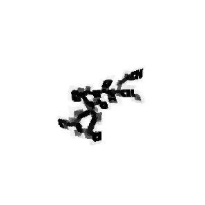 C#CCC(C)NC(=O)N1CC(=O)N(c2cc(Cl)cc(Cl)c2)C1=O